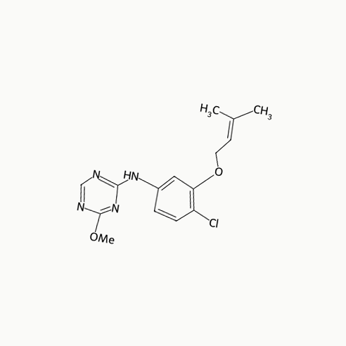 COc1ncnc(Nc2ccc(Cl)c(OCC=C(C)C)c2)n1